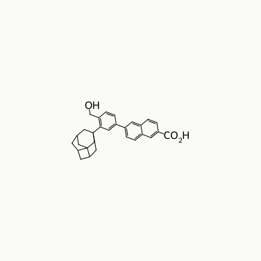 O=C(O)c1ccc2cc(-c3ccc(CO)c(C45CC6CC7CC(C4)C7(C6)C5)c3)ccc2c1